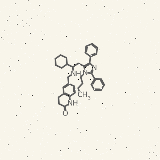 CCCCn1c(-c2ccccc2)nc(-c2ccccc2)c1CC(NCc1ccc2c(c1)CCC(=O)N2)C1CCCCC1